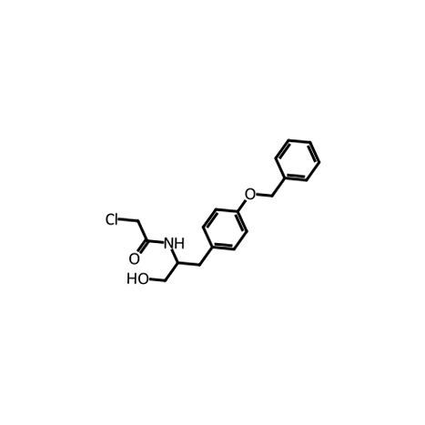 O=C(CCl)NC(CO)Cc1ccc(OCc2ccccc2)cc1